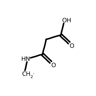 [CH2]NC(=O)CC(=O)O